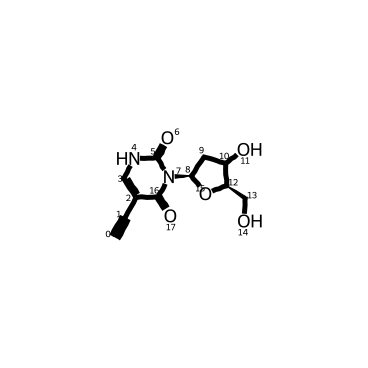 C#Cc1c[nH]c(=O)n([C@H]2CC(O)[C@@H](CO)O2)c1=O